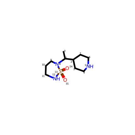 CC(C1CCNCC1)N1CCCNS1(=O)=O